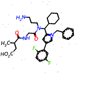 CC(CC(=O)O)C(=O)NCC(=O)N(CCCN)C(c1cc(-c2cc(F)ccc2F)cn1Cc1ccccc1)C1CCCCC1